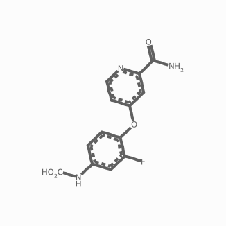 NC(=O)c1cc(Oc2ccc(NC(=O)O)cc2F)ccn1